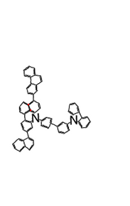 c1ccc(-c2ccc(-c3cccc4ccccc34)cc2N(c2ccc(-c3cccc(-n4c5ccccc5c5ccccc54)c3)cc2)c2ccc(-c3ccc4c(ccc5ccccc54)c3)cc2)cc1